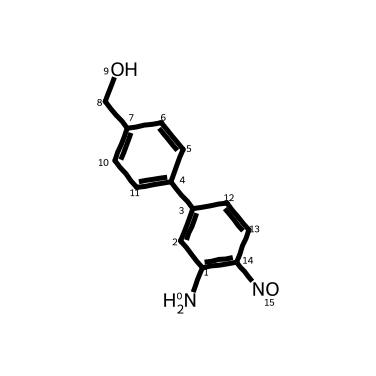 Nc1cc(-c2ccc(CO)cc2)ccc1N=O